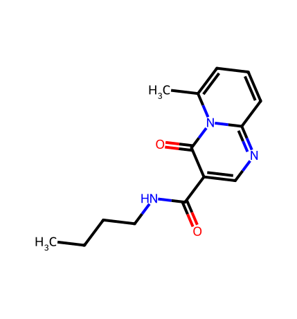 CCCCNC(=O)c1cnc2cccc(C)n2c1=O